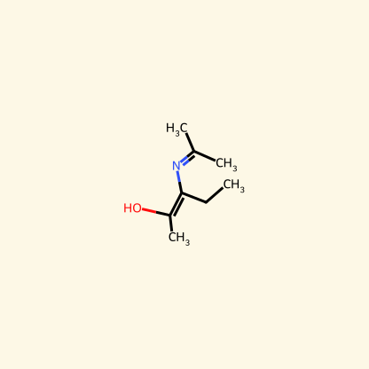 CC/C(N=C(C)C)=C(\C)O